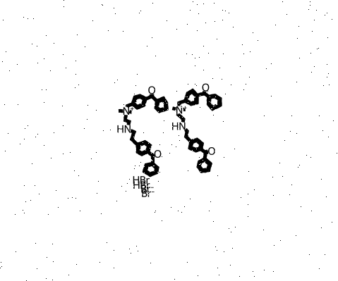 Br.Br.C[N+](C)(CCNCCc1ccc(C(=O)c2ccccc2)cc1)Cc1ccc(C(=O)c2ccccc2)cc1.C[N+](C)(CCNCCc1ccc(C(=O)c2ccccc2)cc1)Cc1ccc(C(=O)c2ccccc2)cc1.[Br-].[Br-]